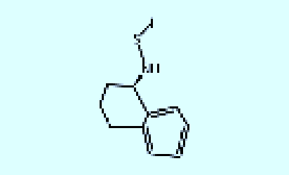 ISN[C@@H]1CCCc2ccccc21